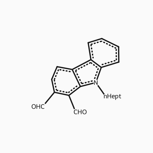 CCCCCCCn1c2ccccc2c2ccc(C=O)c(C=O)c21